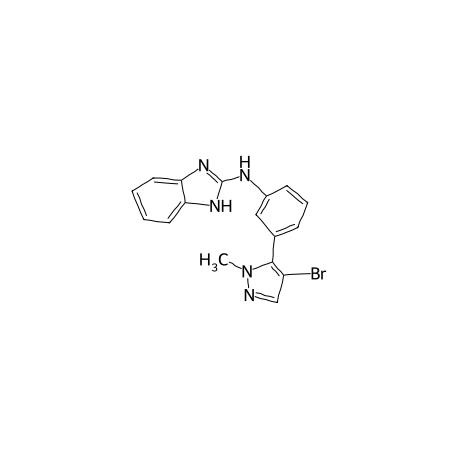 Cn1ncc(Br)c1-c1cccc(Nc2nc3ccccc3[nH]2)c1